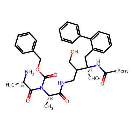 CCCCCC(=O)N[C@]([C]=O)(Cc1ccccc1-c1ccccc1)C(CO)CNC(=O)[C@H](C)N(C(=O)OCc1ccccc1)C(=O)[C@H](C)N